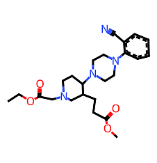 CCOC(=O)CN1CCC(N2CCN(c3ccccc3C#N)CC2)C(CCC(=O)OC)C1